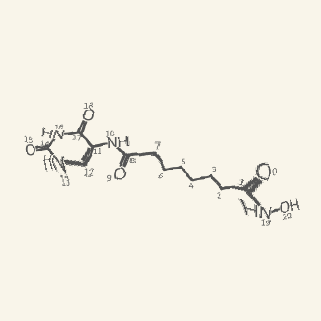 O=C(CCCCCCC(=O)Nc1c[nH]c(=O)[nH]c1=O)NO